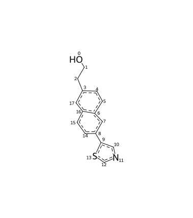 OCCc1ccc2cc(-c3cncs3)ccc2c1